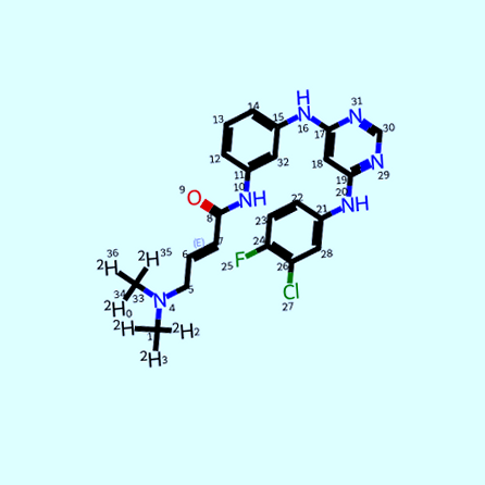 [2H]C([2H])([2H])N(C/C=C/C(=O)Nc1cccc(Nc2cc(Nc3ccc(F)c(Cl)c3)ncn2)c1)C([2H])([2H])[2H]